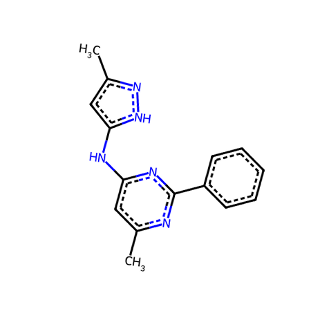 Cc1cc(Nc2cc(C)nc(-c3ccccc3)n2)[nH]n1